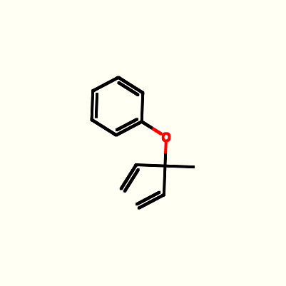 C=CC(C)(C=C)Oc1ccccc1